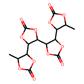 CC1OC(=O)OC1C1OC(=O)OC1C1OC(=O)OC1C1OC(=O)OC1C